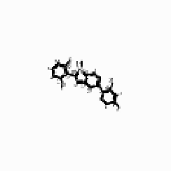 Cc1ccc(-c2ccc3[nH]c(-c4c(F)cccc4F)cc3c2)c(C)c1